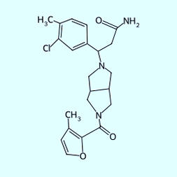 Cc1ccc(C(CC(N)=O)N2CC3CN(C(=O)c4occc4C)CC3C2)cc1Cl